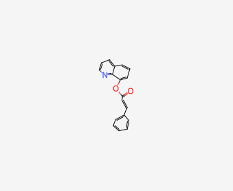 O=C(C=Cc1ccccc1)Oc1cccc2cccnc12